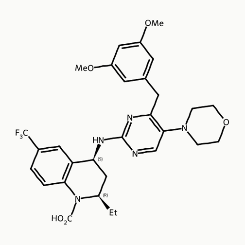 CC[C@@H]1C[C@H](Nc2ncc(N3CCOCC3)c(Cc3cc(OC)cc(OC)c3)n2)c2cc(C(F)(F)F)ccc2N1C(=O)O